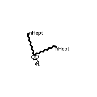 CCCCCCC/C=C\CCCCCCCCC1(CCCCCCCC/C=C\CCCCCCC)OC[C@@H](CN(C)C)O1